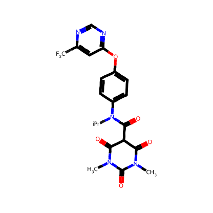 CC(C)N(C(=O)C1C(=O)N(C)C(=O)N(C)C1=O)c1ccc(Oc2cc(C(F)(F)F)ncn2)cc1